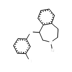 NN1CCc2ccccc2C(Oc2cccc(Cl)c2)C1